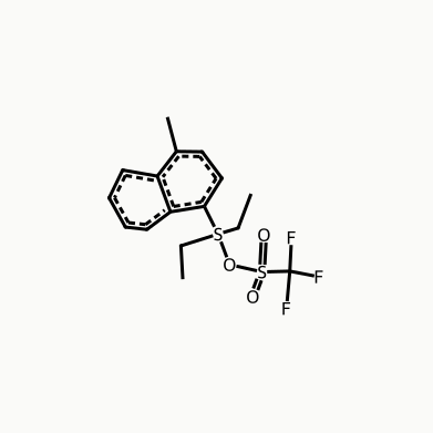 CCS(CC)(OS(=O)(=O)C(F)(F)F)c1ccc(C)c2ccccc12